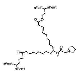 CCCCCC(CCCCC)CCOC(=O)CCCCCCCCC(CCCCCCCCC(=O)OCCC(CCCCC)CCCCC)NC(=O)CN1CCCC1